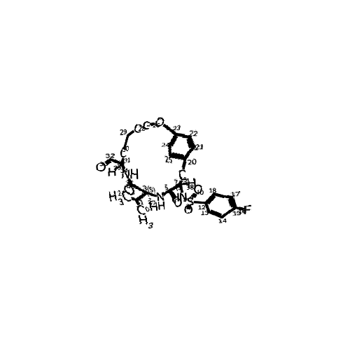 CC(C)[C@@H]1NC(=O)[C@@H](NS(=O)(=O)c2ccc(F)cc2)Cc2ccc(cc2)OCCCC[C@@H](C=O)NC1=O